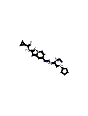 C\C=N/C(COC1CCCC1)=N\C=C\c1ccn2nc(NC(=O)C3CC3)cc2c1